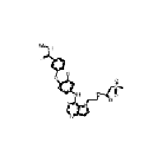 CC(C)(C)NC(=O)c1cccc(Oc2ccc(Nc3ncnc4ccn(CCNC(=O)CS(C)(=O)=O)c34)cc2Cl)c1